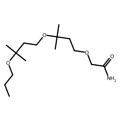 CCCOC(C)(C)CCOC(C)(C)CCOCC(N)=O